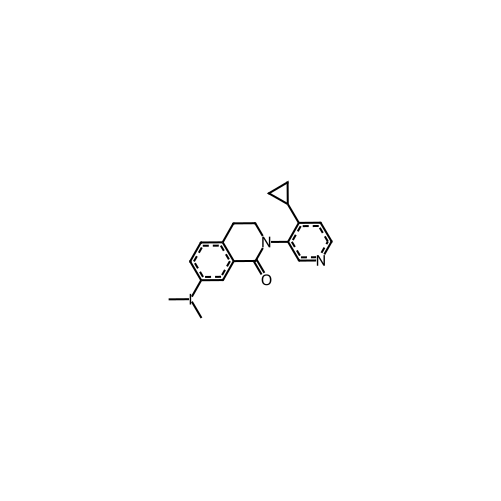 CI(C)c1ccc2c(c1)C(=O)N(c1cnccc1C1CC1)CC2